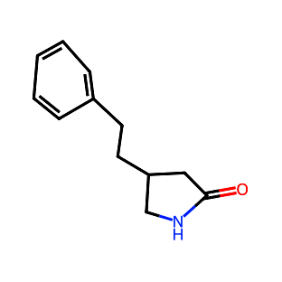 O=C1CC(CCc2ccccc2)CN1